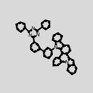 c1ccc(-c2nc(-c3ccccc3)nc(-c3cccc(-c4cccc(-n5c6ccccc6c6ccc7c(c8ccccc8n8c9ccccc9cc78)c65)c4)c3)n2)cc1